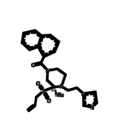 C=CCS(=O)(=O)[C@@]1(CCCC)CN(C(=O)c2cccc3ccccc23)CCN1CCn1ccnc1